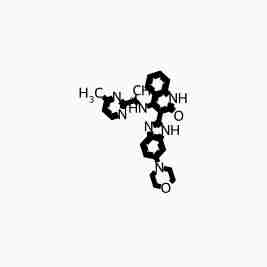 Cc1ccnc([C@H](C)Nc2c(-c3nc4ccc(N5CCOCC5)cc4[nH]3)c(=O)[nH]c3ccccc23)n1